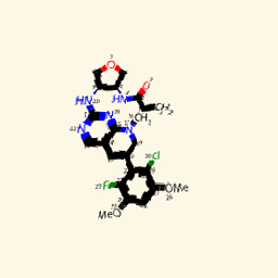 C=CC(=O)N[C@H]1COC[C@H]1Nc1ncc2c(n1)N(C)CC(c1c(F)c(OC)cc(OC)c1Cl)=C2